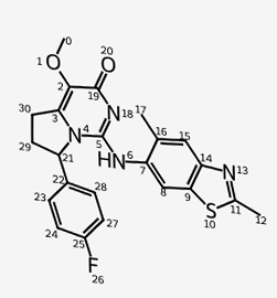 COc1c2n(c(Nc3cc4sc(C)nc4cc3C)nc1=O)C(c1ccc(F)cc1)CC2